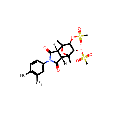 CC12OC(C)([C@@H](OS(C)(=O)=O)[C@@H]1OS(C)(=O)=O)[C@H]1C(=O)N(c3ccc(C#N)c(C(F)(F)F)c3)C(=O)[C@H]12